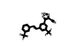 N#Cc1n[nH]nc1-c1cc(/C=C/c2cccc(C(F)(F)F)c2)cc(C(F)(F)F)c1